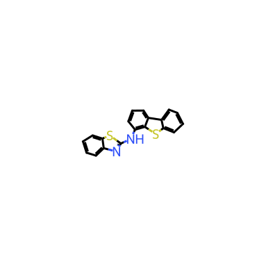 c1ccc2sc(Nc3cccc4c3sc3ccccc34)nc2c1